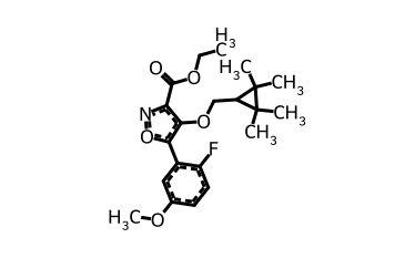 CCOC(=O)c1noc(-c2cc(OC)ccc2F)c1OCC1C(C)(C)C1(C)C